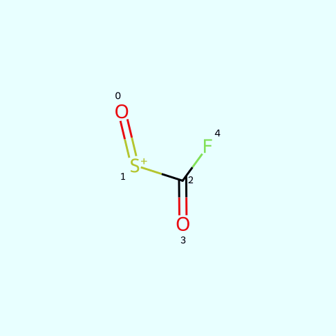 O=[S+]C(=O)F